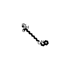 CC(C)CNC(=O)/C=C/C=C/CCCCCCCOc1ccc2ccccc2n1